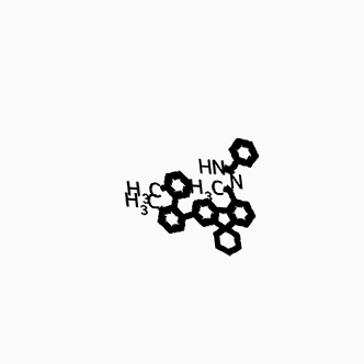 C/C(=N\C(=N)c1ccccc1)c1cccc2c1-c1ccc(-c3cccc(C)c3-c3ccccc3C)cc1C21CCCCC1